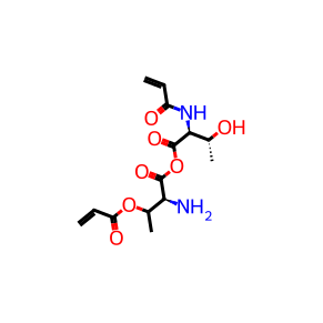 C=CC(=O)N[C@H](C(=O)OC(=O)[C@@H](N)C(C)OC(=O)C=C)[C@@H](C)O